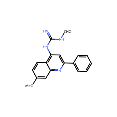 COc1ccc2c(NC(=N)NC=O)cc(-c3ccccc3)nc2c1